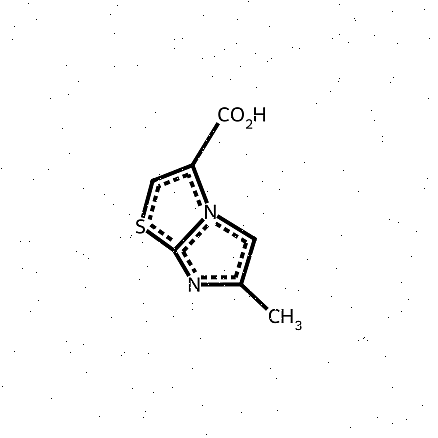 Cc1cn2c(C(=O)O)csc2n1